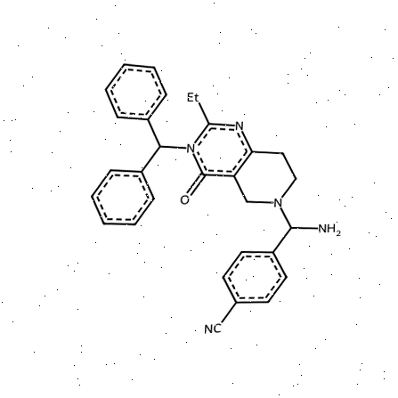 CCc1nc2c(c(=O)n1C(c1ccccc1)c1ccccc1)CN(C(N)c1ccc(C#N)cc1)CC2